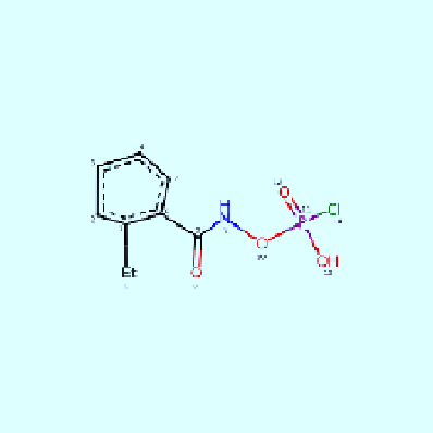 CCc1ccccc1C(=O)NOP(=O)(O)Cl